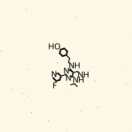 CC(C)Nc1nc(-c2cncc(F)c2)nc(NCCc2ccc(O)cc2)c1C=N